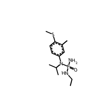 CCNP(N)(=O)N(c1ccc(SC)c(C)c1)C(C)C